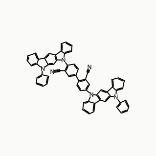 N#Cc1cc(-n2c3ccccc3c3cc4c(cc32)c2ccccc2n4-c2ccccc2)ccc1-c1ccc(-n2c3ccccc3c3cc4c5ccccc5n(-c5ccccc5)c4cc32)c(C#N)c1